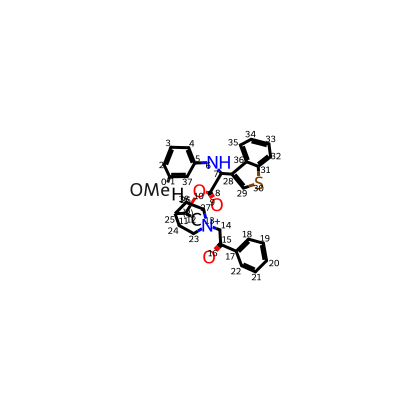 COc1cccc(NC(C(=O)O[C@H]2C[N+]3(CC(=O)c4ccccc4)CCC2CC3)c2csc3ccccc23)c1